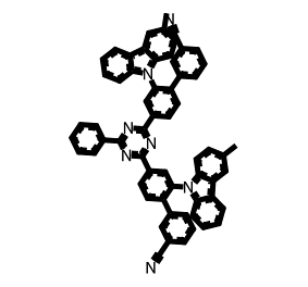 Cc1ccc2c(c1)c1ccccc1n2-c1cc(-c2nc(-c3ccccc3)nc(-c3ccc(-c4cccc(C#N)c4)c(-n4c5ccccc5c5cc(C)ccc54)c3)n2)ccc1-c1cccc(C#N)c1